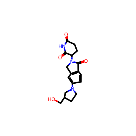 O=C1CCC(N2Cc3cc(N4CCC(CO)C4)ccc3C2=O)C(=O)N1